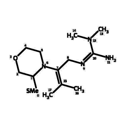 CSC1COCCN1C(CN=C(N)N(C)C)=C(C)C